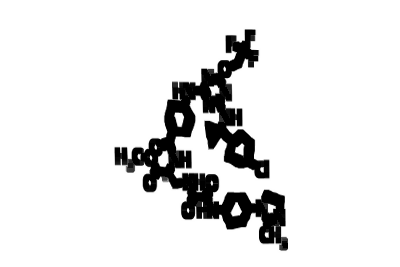 COC(=O)[C@H](CNC(=O)C(=O)Nc1ccc(-n2ccnc2C)cc1)NC(=O)c1ccc(Nc2nc(NC3(c4ccc(Cl)cc4)CC3)nc(OCC(F)(F)F)n2)cc1